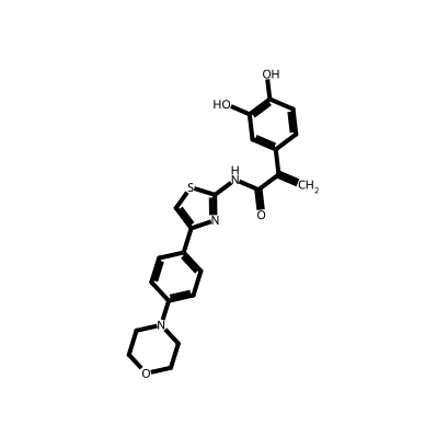 C=C(C(=O)Nc1nc(-c2ccc(N3CCOCC3)cc2)cs1)c1ccc(O)c(O)c1